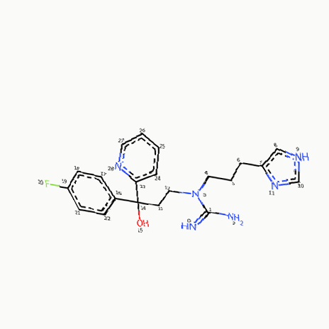 N=C(N)N(CCCc1c[nH]cn1)CCC(O)(c1ccc(F)cc1)c1ccccn1